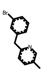 Cc1ccc(Cc2cccc(Br)c2)nc1